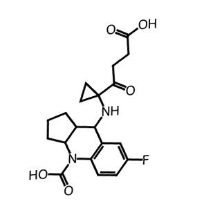 O=C(O)CCC(=O)C1(NC2c3cc(F)ccc3N(C(=O)O)C3CCCC23)CC1